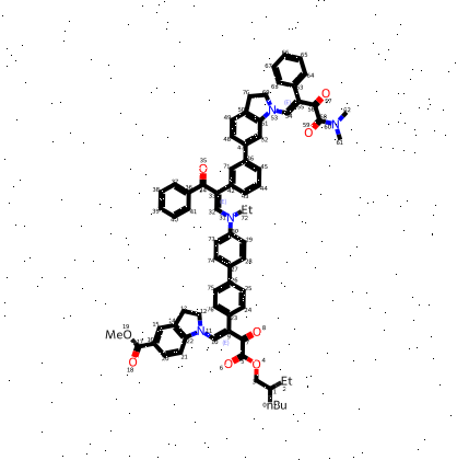 CCCCC(CC)COC(=O)C(=O)/C(=C/N1CCc2cc(C(=O)OC)ccc21)c1ccc(-c2ccc(N(/C=C(/C(=O)c3ccccc3)c3cccc(-c4ccc5c(c4)N(/C=C(/C(=O)C(=O)N(C)C)c4ccccc4)CC5)c3)CC)cc2)cc1